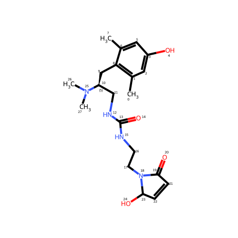 Cc1cc(O)cc(C)c1C[C@@H](CNC(=O)NCCN1C(=O)C=CC1O)N(C)C